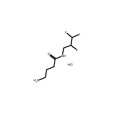 Cl.NCCCC(=O)NCC(F)C(F)F